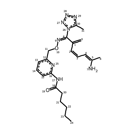 C=C(/C=C\C=C(\C)N)/C(=N\OCc1cccc(NC(=O)CCCCC)n1)n1nnnc1C